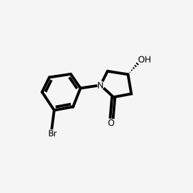 O=C1C[C@@H](O)CN1c1cccc(Br)c1